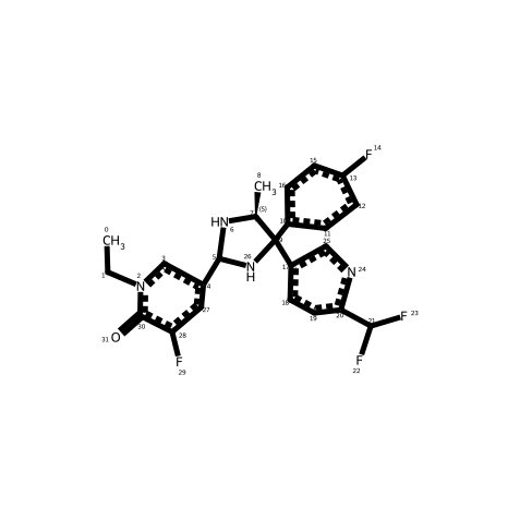 CCn1cc(C2N[C@@H](C)C(c3ccc(F)cc3)(c3ccc(C(F)F)nc3)N2)cc(F)c1=O